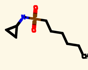 CCCCCCS(=O)(=O)[N]C1CC1